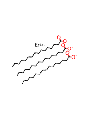 CCCCCCCCCCCCCCCC(=O)[O-].CCCCCCCCCCCCCCCC(=O)[O-].CCCCCCCCCCCCCCCC(=O)[O-].[Er+3]